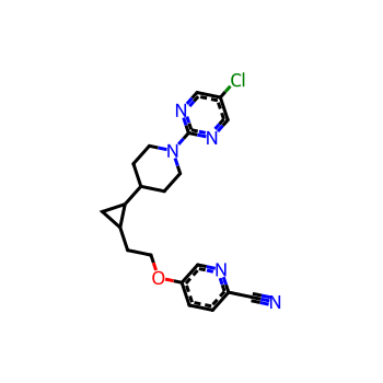 N#Cc1ccc(OCCC2CC2C2CCN(c3ncc(Cl)cn3)CC2)cn1